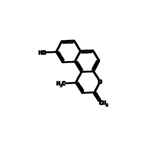 C=C1C=C(C)c2c(ccc3ccc(O)cc23)O1